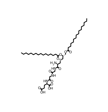 CCCCCCCCCCCCCCCC(=O)OC[C@H](CSC[C@H](N)C(=O)NCC(=O)NCC(=O)NC(CCC(=O)O)C(=O)O)OC(=O)CCCCCCCCCCCCCCC